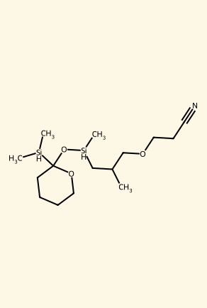 CC(COCCC#N)C[SiH](C)OC1([SiH](C)C)CCCCO1